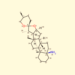 C[C@H]1CC[C@@]2(OC1)O[C@H]1C[C@H]3[C@@H]4CC[C@]5(N)CCCC[C@]5(C)[C@H]4CC[C@]3(C)[C@H]1[C@@H]2C